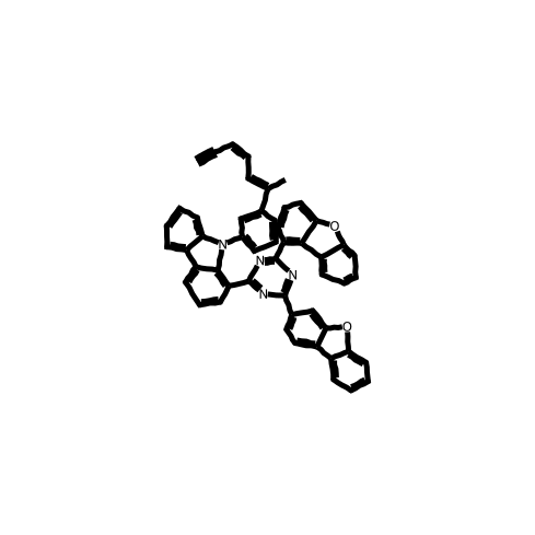 C#C/C=C\C=C(/C)c1cccc(-n2c3ccccc3c3cccc(-c4nc(-c5ccc6c(c5)oc5ccccc56)nc(-c5cccc6oc7ccccc7c56)n4)c32)c1